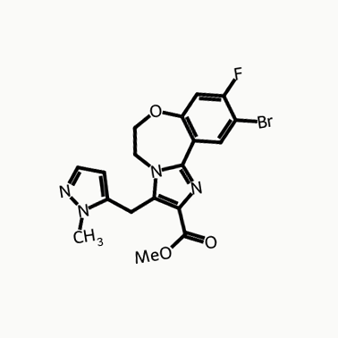 COC(=O)c1nc2n(c1Cc1ccnn1C)CCOc1cc(F)c(Br)cc1-2